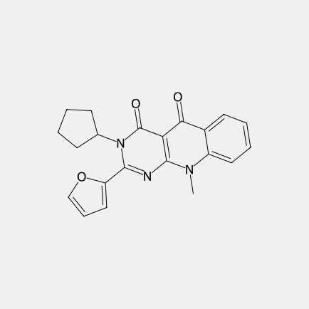 Cn1c2ccccc2c(=O)c2c(=O)n(C3CCCC3)c(-c3ccco3)nc21